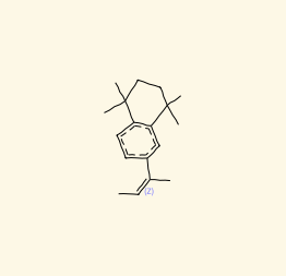 C/C=C(/C)c1ccc2c(c1)C(C)(C)CCC2(C)C